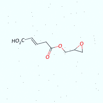 O=C(O)C=CCC(=O)OCC1CO1